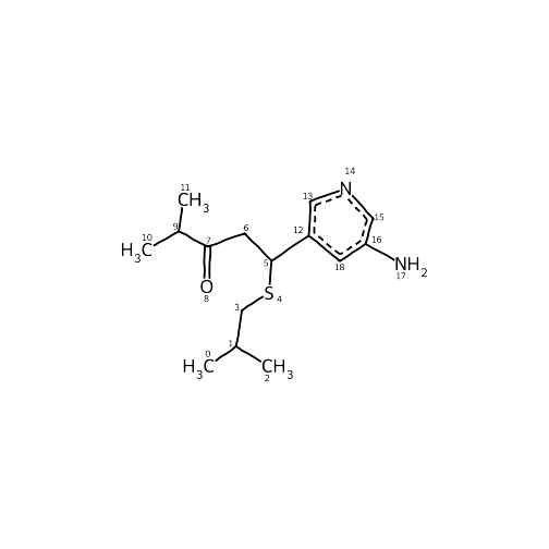 CC(C)CSC(CC(=O)C(C)C)c1cncc(N)c1